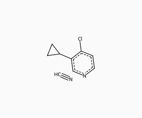 C#N.Clc1ccncc1C1CC1